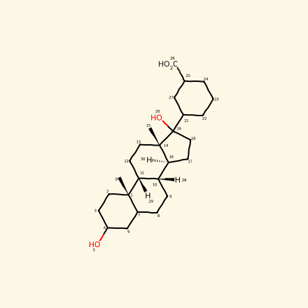 C[C@]12CCC(O)CC1CC[C@@H]1[C@H]2CC[C@@]2(C)[C@H]1CCC2(O)C1CCCC(C(=O)O)C1